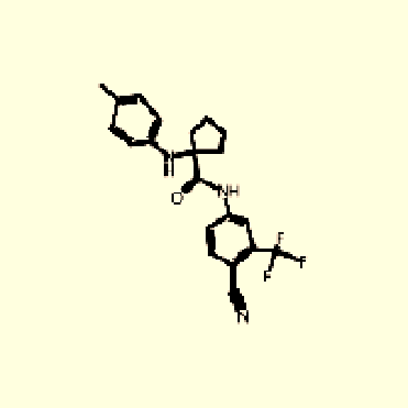 Cc1ccc(NC2(C(=O)Nc3ccc(C#N)c(C(F)(F)F)c3)CCCC2)cc1